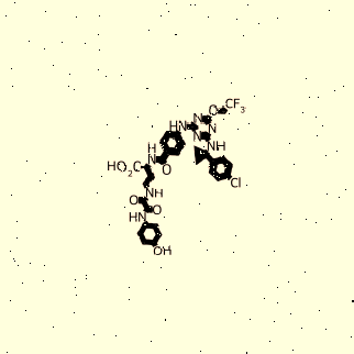 O=C(NCC[C@H](NC(=O)c1ccc(Nc2nc(NC3(c4ccc(Cl)cc4)CC3)nc(OCC(F)(F)F)n2)cc1)C(=O)O)C(=O)NC1CCC(O)CC1